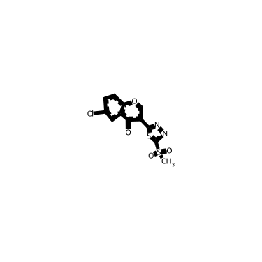 CS(=O)(=O)c1nnc(-c2coc3ccc(Cl)cc3c2=O)s1